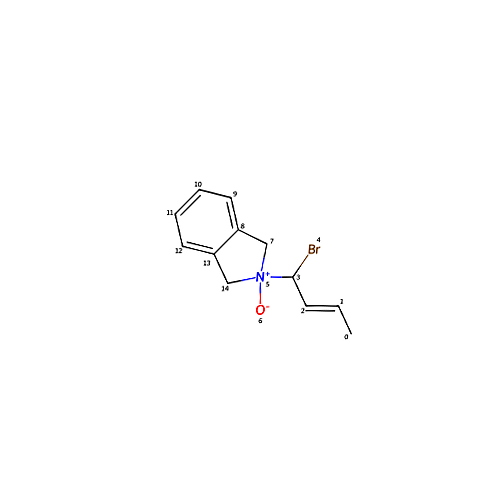 CC=CC(Br)[N+]1([O-])Cc2ccccc2C1